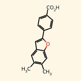 Cc1cc2cc(-c3ccc(C(=O)O)cc3)oc2cc1C